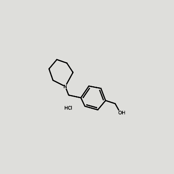 Cl.OCc1ccc(CN2CCCCC2)cc1